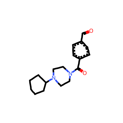 O=Cc1ccc(C(=O)N2CCN(C3CCCCC3)CC2)cc1